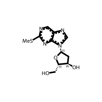 CSc1ncc2ncn([C@@H]3C[C@@H](O)[C@H](CO)O3)c2n1